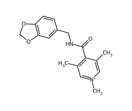 Cc1c[n+](C)cc(C)c1C(=O)NCc1ccc2c(c1)OCO2